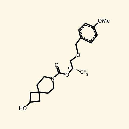 COc1ccc(COC[C@@H](OC(=O)N2CCC3(CC2)CC(O)C3)C(F)(F)F)cc1